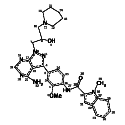 COc1cc(-c2nn(CC(O)CN3CCCCC3)c3ncnc(N)c23)ccc1NC(=O)c1cc2ccccc2n1C